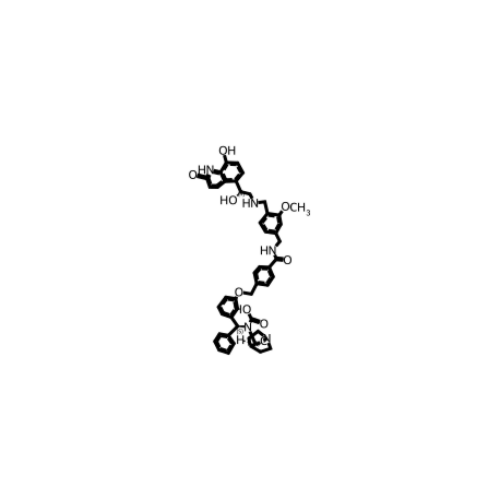 COc1cc(CNC(=O)c2ccc(COc3cccc([C@H](c4ccccc4)N(C(=O)O)[C@H]4CN5CCC4CC5)c3)cc2)ccc1CNC[C@H](O)c1ccc(O)c2[nH]c(=O)ccc12